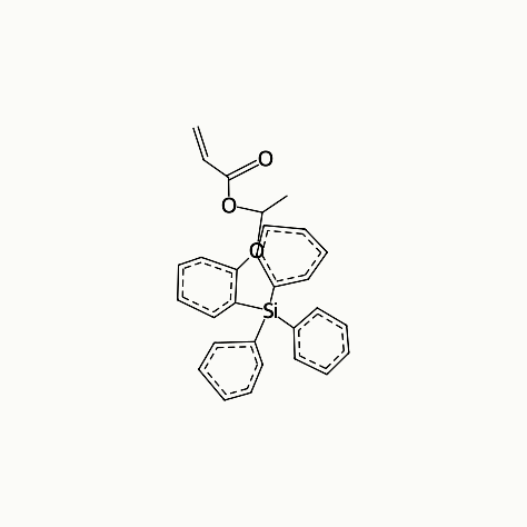 C=CC(=O)OC(C)Oc1ccccc1[Si](c1ccccc1)(c1ccccc1)c1ccccc1